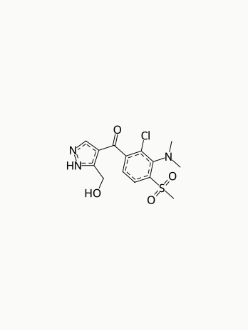 CN(C)c1c(S(C)(=O)=O)ccc(C(=O)c2cn[nH]c2CO)c1Cl